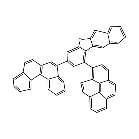 c1ccc2cc3c(cc2c1)oc1cc(-c2cc4ccc5ccccc5c4c4ccccc24)cc(-c2ccc4ccc5cccc6ccc2c4c56)c13